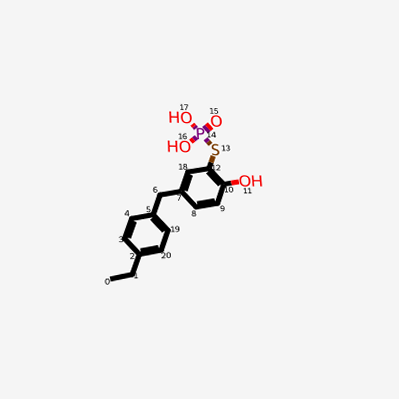 CCc1ccc(Cc2ccc(O)c(SP(=O)(O)O)c2)cc1